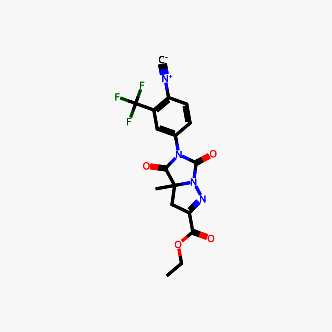 [C-]#[N+]c1ccc(N2C(=O)N3N=C(C(=O)OCC)CC3(C)C2=O)cc1C(F)(F)F